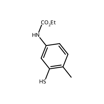 CCOC(=O)Nc1ccc(C)c(S)c1